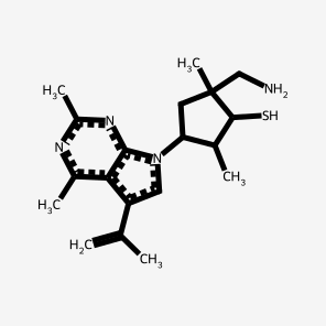 C=C(C)c1cn(C2CC(C)(CN)C(S)C2C)c2nc(C)nc(C)c12